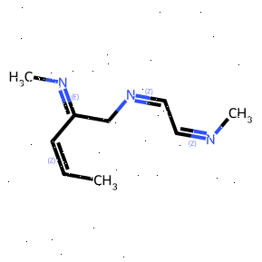 C/C=C\C(C/N=C\C=N/C)=N/C